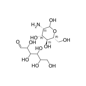 N[C@@H]1C(O)O[C@H](CO)[C@@H](O)[C@@H]1O.O=CC(O)C(O)C(O)C(O)CO